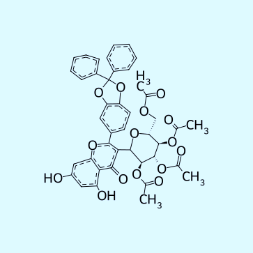 CC(=O)OC[C@H]1OC(c2c(-c3ccc4c(c3)OC(c3ccccc3)(c3ccccc3)O4)oc3cc(O)cc(O)c3c2=O)[C@H](OC(C)=O)[C@@H](OC(C)=O)[C@@H]1OC(C)=O